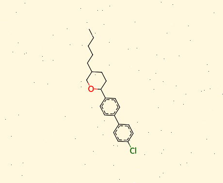 CCCCCC1CCC(c2ccc(-c3ccc(Cl)cc3)cc2)OC1